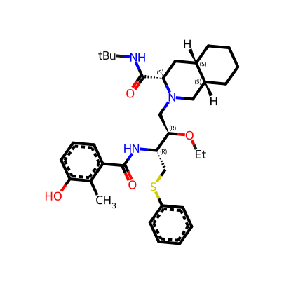 CCO[C@H](CN1C[C@H]2CCCC[C@H]2C[C@H]1C(=O)NC(C)(C)C)[C@H](CSc1ccccc1)NC(=O)c1cccc(O)c1C